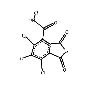 O=C(NCl)c1c(Cl)c(Cl)c(Cl)c2c1C(=O)OC2=O